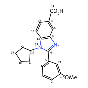 COc1cccc(-c2nc3cc(C(=O)O)ccc3n2C2CCCC2)c1